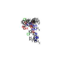 CC(NCc1ccc(Cl)cc1Oc1ccc(-c2cnc(CN(C)C)n2C)nc1)C(=O)NC(CO[Si](C)(C)C(C)(C)C)C(=O)N(C)C1(Cc2ccc(Cl)cc2)CCCN(C(=O)C(CC(=O)O)Cc2ccccc2)C1